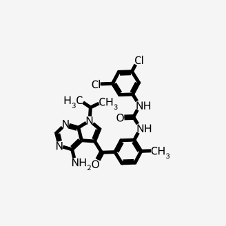 Cc1ccc(C(=O)c2cn(C(C)C)c3ncnc(N)c23)cc1NC(=O)Nc1cc(Cl)cc(Cl)c1